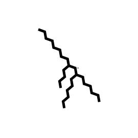 CCCCCCCCC([CH]C(CCCCCC)CCCCCC)CCCC